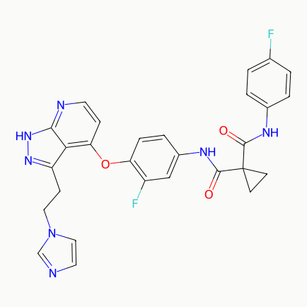 O=C(Nc1ccc(F)cc1)C1(C(=O)Nc2ccc(Oc3ccnc4[nH]nc(CCn5ccnc5)c34)c(F)c2)CC1